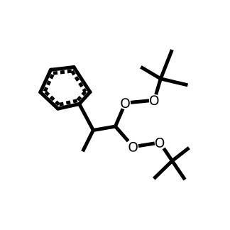 CC(c1ccccc1)C(OOC(C)(C)C)OOC(C)(C)C